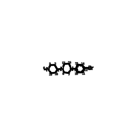 CN1CCC(N2CCN(c3ccc(Br)cc3)CC2)CC1